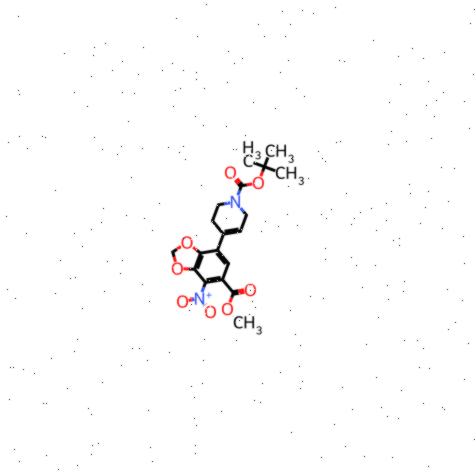 COC(=O)c1cc(C2=CCN(C(=O)OC(C)(C)C)CC2)c2c(c1[N+](=O)[O-])OCO2